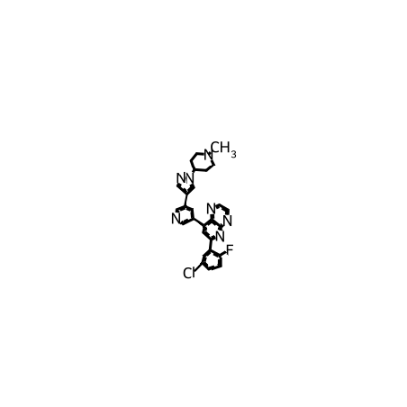 CN1CCC(n2cc(-c3cncc(-c4cc(-c5cc(Cl)ccc5F)nc5nccnc45)c3)cn2)CC1